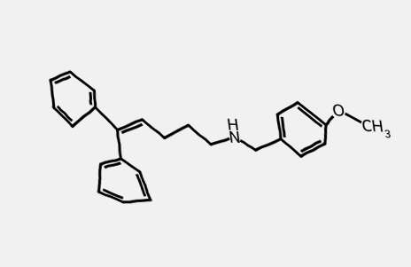 COc1ccc(CNCCCC=C(c2ccccc2)c2ccccc2)cc1